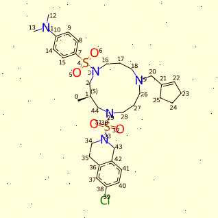 C[C@H]1CN(S(=O)(=O)c2ccc(N(C)C)cc2)CCCN(CC2=CCCC2)CCCN(S(=O)(=O)N2CCc3cc(Cl)ccc3C2)C1